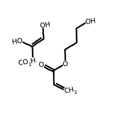 C=CC(=O)OCCCO.O=C(O)C(O)=CO